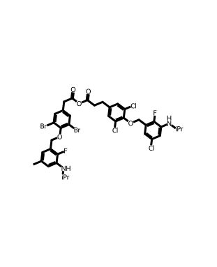 Cc1cc(COc2c(Br)cc(CC(=O)OC(=O)CCc3cc(Cl)c(OCc4cc(Cl)cc(NC(C)C)c4F)c(Cl)c3)cc2Br)c(F)c(NC(C)C)c1